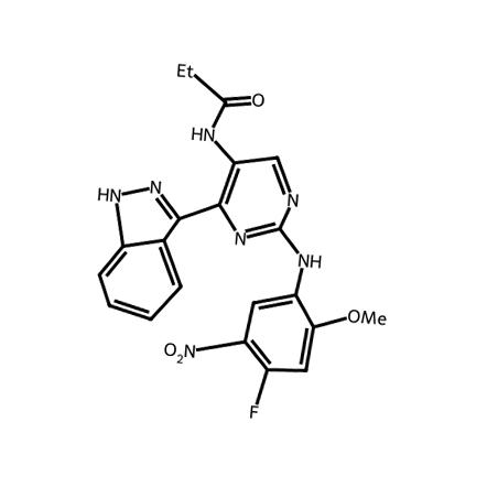 CCC(=O)Nc1cnc(Nc2cc([N+](=O)[O-])c(F)cc2OC)nc1-c1n[nH]c2ccccc12